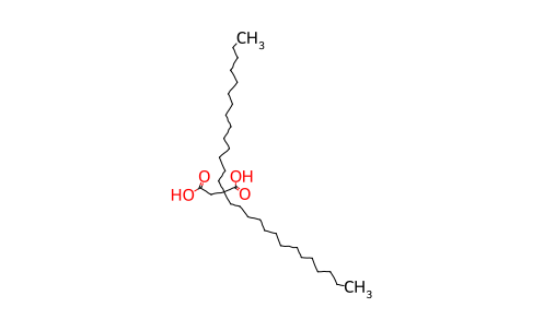 CCCCCCCCCCCCCCC(CCCCCCCCCCCCCC)(CC(=O)O)C(=O)O